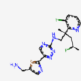 C[C@@H](F)C[C@](C)(CNc1ncc(-c2ncc(CN)s2)nn1)c1ncccc1F